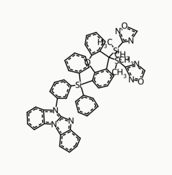 C[Si](C)(c1ncon1)C1([Si](C)(C)c2ncon2)c2ccccc2Oc2c1cccc2[Si](c1ccccc1)(c1ccccc1)c1cccc(-n2c3ccccc3n3c4ccccc4nc23)c1